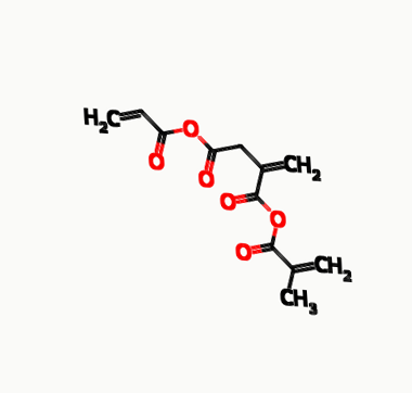 C=CC(=O)OC(=O)CC(=C)C(=O)OC(=O)C(=C)C